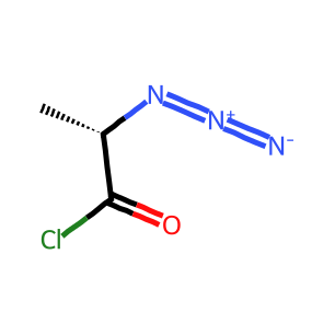 C[C@H](N=[N+]=[N-])C(=O)Cl